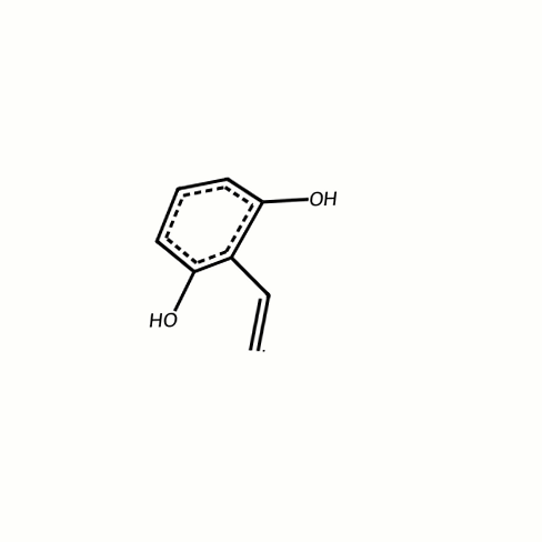 [CH]=Cc1c(O)cccc1O